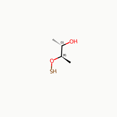 C[C@H](O)[C@@H](C)OS